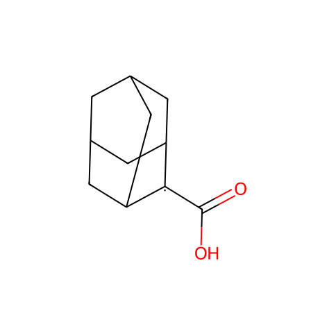 O=C(O)[C]1C2CC3CC(C2)CC1C3